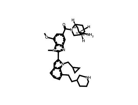 COc1cc(C(=O)N2C[C@H]3CC[C@@H]2C[C@@H]3N)cc2nc(-c3cc4cccc(CCC5CCCNC5)c4n3CC3CC3)n(C)c12